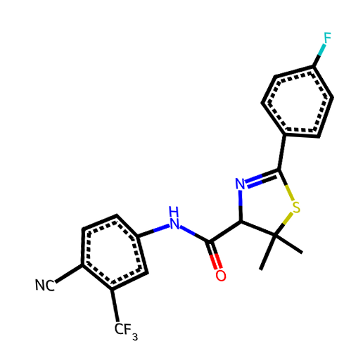 CC1(C)SC(c2ccc(F)cc2)=NC1C(=O)Nc1ccc(C#N)c(C(F)(F)F)c1